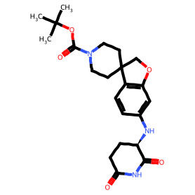 CC(C)(C)OC(=O)N1CCC2(CC1)COc1cc(N[C@@H]3CCC(=O)NC3=O)ccc12